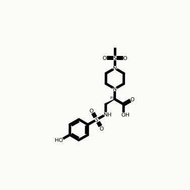 CS(=O)(=O)N1CCN([C@H](CNS(=O)(=O)c2ccc(O)cc2)C(=O)O)CC1